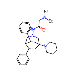 CCN(CC)CC(=O)NN1CC2C(c3ccccc3)CC(N3CCCCC3)(CC2c2ccccc2)C1